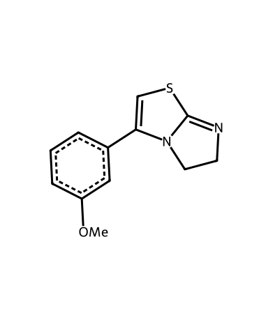 COc1cccc(C2=CSC3=NCCN23)c1